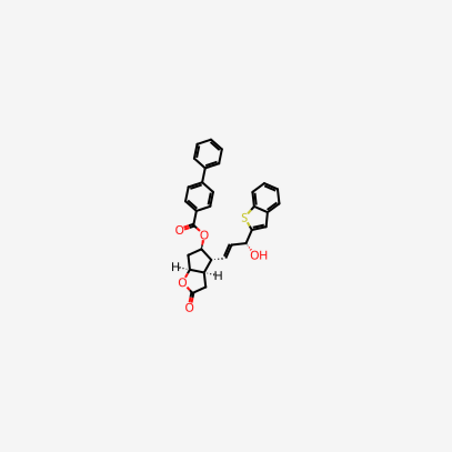 O=C1C[C@@H]2[C@@H](/C=C/[C@@H](O)c3cc4ccccc4s3)[C@H](OC(=O)c3ccc(-c4ccccc4)cc3)C[C@@H]2O1